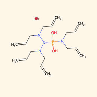 Br.C=CCN(CC=C)N(N(CC=C)CC=C)[PH](O)(O)N(CC=C)CC=C